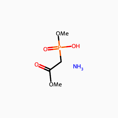 COC(=O)CP(=O)(O)OC.N